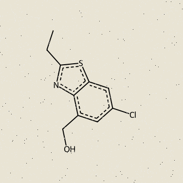 CCc1nc2c(CO)cc(Cl)cc2s1